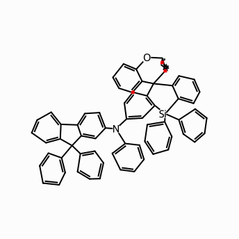 c1ccc(N(c2ccc3c(c2)C(c2ccccc2)(c2ccccc2)c2ccccc2-3)c2ccc3c(c2)[Si](c2ccccc2)(c2ccccc2)c2ccccc2C32c3ccccc3Oc3ccccc32)cc1